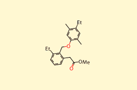 CCc1cc(C)c(OCc2c(CC)cccc2CC(=O)OC)cc1C